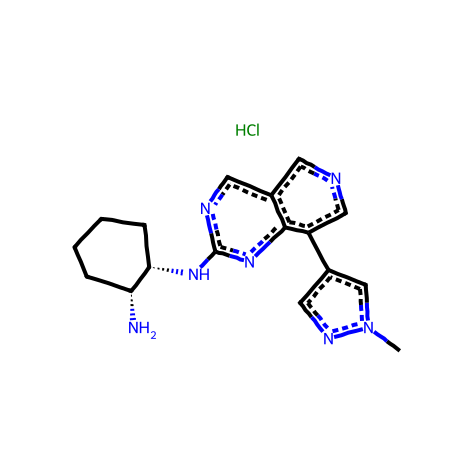 Cl.Cn1cc(-c2cncc3cnc(N[C@H]4CCCC[C@H]4N)nc23)cn1